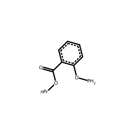 CCCOC(=O)c1ccccc1OP